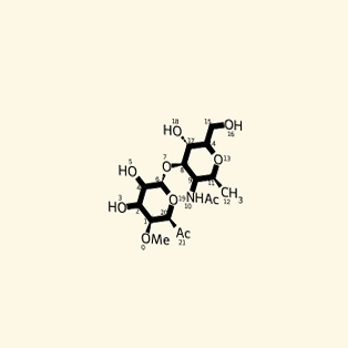 CO[C@H]1C(O)C(O)[C@H](O[C@@H]2C(NC(C)=O)[C@H](C)OC(CO)[C@H]2O)O[C@H]1C(C)=O